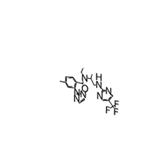 CCN(C(=O)c1ccc(C)cc1-n1nccn1)C(C)CNc1ncc(C(F)(F)F)cn1